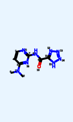 CN(C)c1ccnc(NC(=O)c2nnn[nH]2)n1